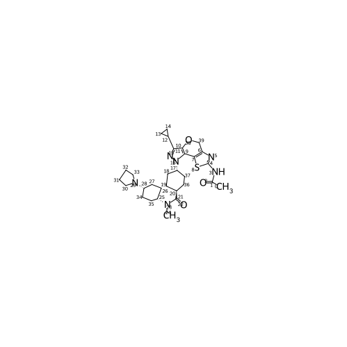 CC(=O)Nc1nc2c(s1)-c1c(c(C3CC3)nn1[C@H]1CC[C@H](C(=O)N(C)[C@H]3CC[C@@H](N4CCCC4)CC3)CC1)OC2